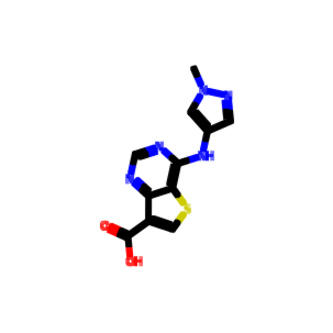 Cn1cc(Nc2ncnc3c(C(=O)O)csc23)cn1